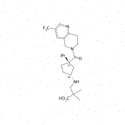 CC(C)[C@]1(C(=O)N2CCc3ncc(C(F)(F)F)cc3C2)CC[C@@H](NCC(C)(C)C(=O)O)C1